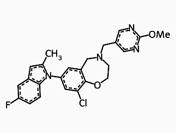 COc1ncc(CN2CCOc3c(Cl)cc(-n4c(C)cc5cc(F)ccc54)cc3C2)cn1